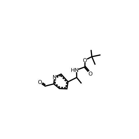 CC(NC(=O)OC(C)(C)C)c1ccc(C=O)nc1